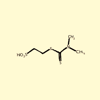 CN(C)C(=S)SCCS(=O)(=O)O